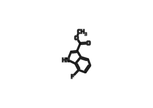 COC(=O)c1c[nH]c2c(F)cccc12